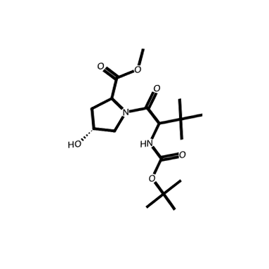 COC(=O)C1C[C@@H](O)CN1C(=O)C(NC(=O)OC(C)(C)C)C(C)(C)C